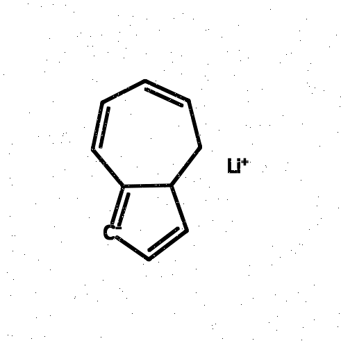 [C-]1=C2C=CC=CCC2C=C1.[Li+]